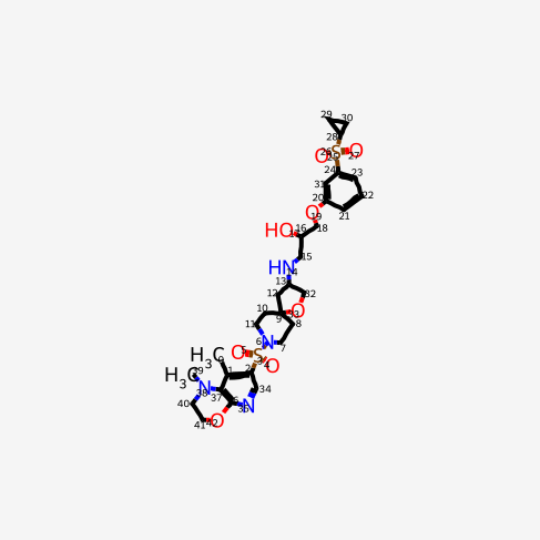 Cc1c(S(=O)(=O)N2CCC3(CC2)CC(NCC(O)COc2cccc(S(=O)(=O)C4CC4)c2)CO3)cnc2c1N(C)CCO2